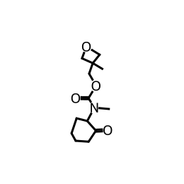 CN(C(=O)OCC1(C)COC1)C1CCCCC1=O